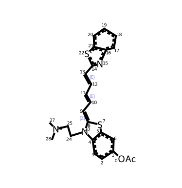 CC(=O)Oc1ccc2c(c1)S\C(=C/C=C/C=C/c1nc3ccccc3s1)N2CCN(C)C